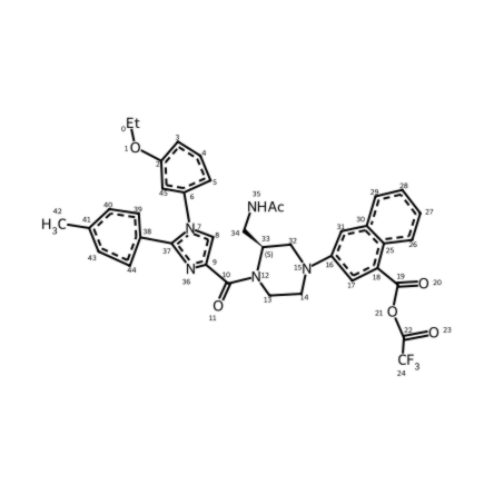 CCOc1cccc(-n2cc(C(=O)N3CCN(c4cc(C(=O)OC(=O)C(F)(F)F)c5ccccc5c4)C[C@@H]3CNC(C)=O)nc2-c2ccc(C)cc2)c1